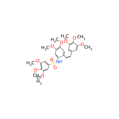 COc1cc(/C=C\c2cc(OC)c(OC)c(OC)c2)c(NS(=O)(=O)c2cc(OC)c(OC)c(OC)c2)cc1OC